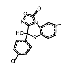 Cc1ccc2c(c1)-n1c(noc1=O)C(O)(c1ccc(Cl)cc1)S2